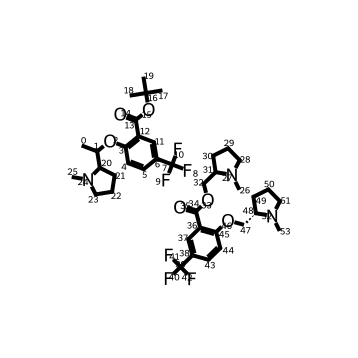 CC(Oc1ccc(C(F)(F)F)cc1C(=O)OC(C)(C)C)C1CCCN1C.CN1CCCC1COC(=O)c1cc(C(F)(F)F)ccc1OC[C@@H]1CCCN1C